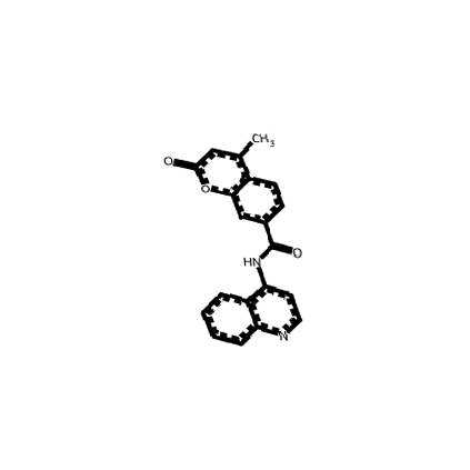 Cc1cc(=O)oc2cc(C(=O)Nc3ccnc4ccccc34)ccc12